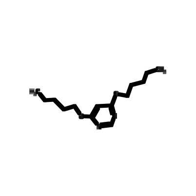 CCCCCOc1cc(OCCCCC)ncn1